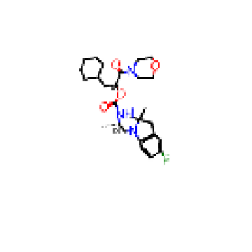 C[C@@H](CN1c2ccc(F)cc2CC1(C)C)NC(=O)O[C@@H](CC1CCCCC1)C(=O)N1CCOCC1